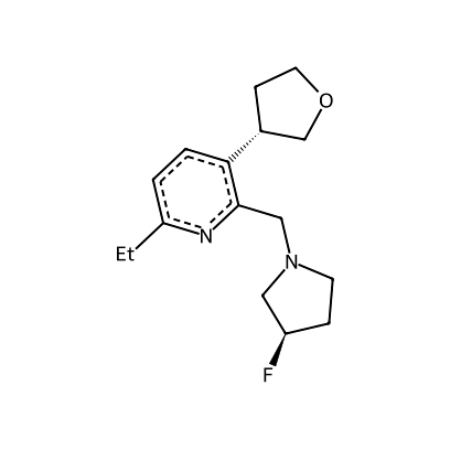 CCc1ccc([C@@H]2CCOC2)c(CN2CC[C@@H](F)C2)n1